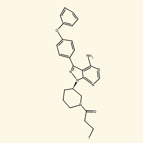 Nc1ncnc2c1c(-c1ccc(Oc3ccccc3)cc1)nn2[C@@H]1CCCN(C(=O)CCI)C1